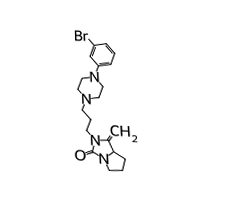 C=C1C2CCCN2C(=O)N1CCCN1CCN(c2cccc(Br)c2)CC1